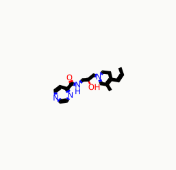 C/C=C\C1=C(C)CN(C[C@@H](O)CNC(=O)C2=NC=C=NC=C2)CC1